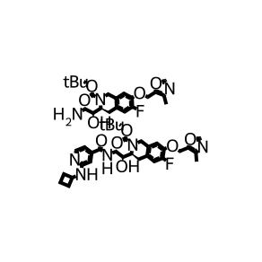 Cc1ncoc1COc1cc2c(cc1F)C[C@@H]([C@H](O)CN)N(C(=O)OC(C)(C)C)C2.Cc1ncoc1COc1cc2c(cc1F)C[C@@H]([C@H](O)CNC(=O)c1ccnc(NC3CCC3)c1)N(C(=O)OC(C)(C)C)C2